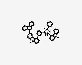 c1ccc(-c2nc(-c3cccc(-c4cccc5oc6ccc(-c7cc8ccccc8c8ccccc78)cc6c45)c3)nc(-c3cccc4oc5ccccc5c34)n2)cc1